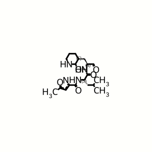 Cc1cc(C(=O)N[C@@H](CC(C)C)C(=O)N[C@H](C=O)C[C@@H]2CCCNC2O)no1